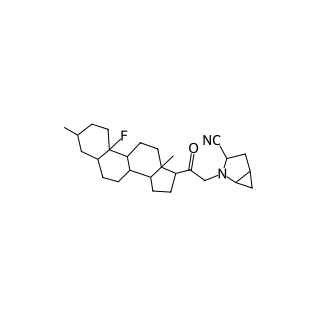 CC1CCC2(F)C(CCC3C4CCC(C(=O)CN5C(C#N)CC6CC65)C4(C)CCC32)C1